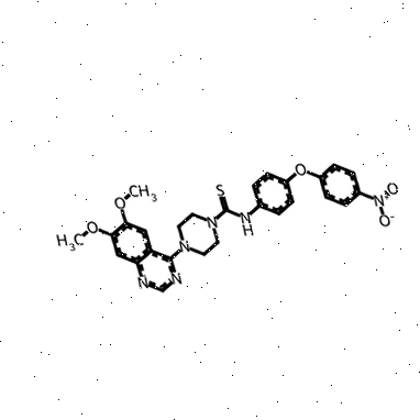 COc1cc2ncnc(N3CCN(C(=S)Nc4ccc(Oc5ccc([N+](=O)[O-])cc5)cc4)CC3)c2cc1OC